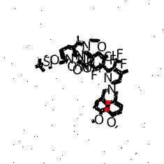 COc1ccc(CN(Cc2ccc(OC)cc2)c2cc(C)c(C(F)(F)F)c(-c3c(Cl)c4c5c(nc(OCCO[Si](C)(C)C(C)(C)C)nc5c3F)N([C@H](C)c3cccnc3NC(=O)O)CCO4)n2)cc1